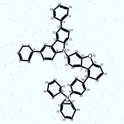 C1=CCCC(c2ccc3c(c2)c2cc(-c4ccccc4)ccc2n3-c2ccc3c(c2)oc2cccc(-c4ccc([N+]5(c6ccccc6)c6ccccc65)cc4)c23)=C1